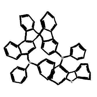 c1ccc(N(c2ccccc2)c2cc3c(c4ccccc24)-c2ccccc2C32c3ccccc3-c3cc(N(c4ccccc4)c4cccc5sc6ccccc6c45)ccc32)cc1